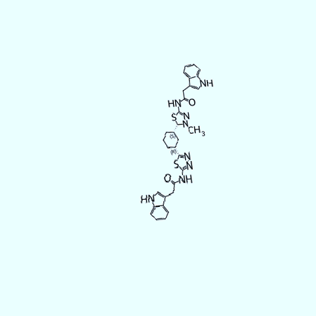 CN1N=C(NC(=O)Cc2c[nH]c3ccccc23)SC1[C@H]1CCC[C@@H](c2nnc(NC(=O)Cc3c[nH]c4ccccc34)s2)C1